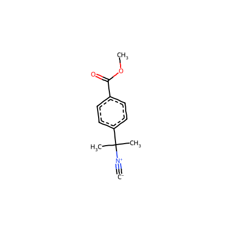 [C-]#[N+]C(C)(C)c1ccc(C(=O)OC)cc1